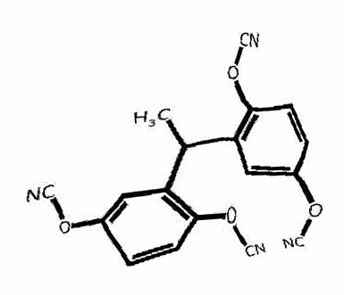 CC(c1cc(OC#N)ccc1OC#N)c1cc(OC#N)ccc1OC#N